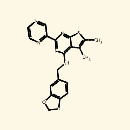 Cc1sc2nc(-c3cnccn3)nc(NCc3ccc4c(c3)OCO4)c2c1C